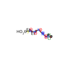 CCC(=O)N(CCC(C)(C)C(C)(C)N(CCSCCC(=O)O)C(=O)CC)C(C)(C)C(C)(C)CCN(C)C(=O)CCCc1cn(CCCOC(=O)Cc2ccccc2Nc2c(Cl)cccc2Cl)nn1